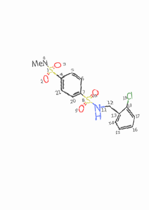 CNS(=O)(=O)c1ccc(S(=O)(=O)NCc2ccccc2Cl)cc1